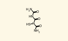 NC(=O)NC(=O)N(S)C(N)=O